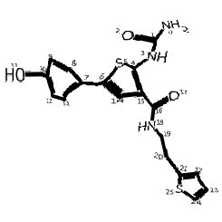 NC(=O)Nc1sc(-c2ccc(O)cc2)cc1C(=O)NCCc1cccs1